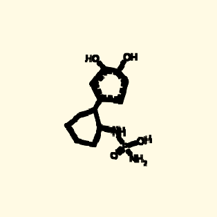 NP(=O)(O)NC1CCCCC1c1ccc(O)c(O)c1